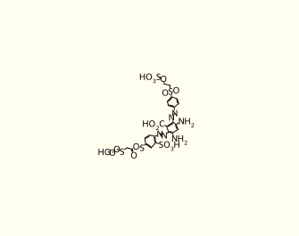 Nc1cc(N)c(N=Nc2ccc(SOC(=O)CSOOO)cc2S(=O)(=O)O)c(C(=O)O)c1N=Nc1ccc(S(=O)(=O)CCOS(=O)(=O)O)cc1